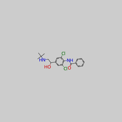 CC(C)(C)NCC(O)c1cc(Cl)c(NC(=O)c2ccccc2)c(Cl)c1